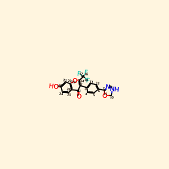 O=c1c(-c2ccc(C3=NNCO3)cc2)c(C(F)(F)F)oc2cc(O)ccc12